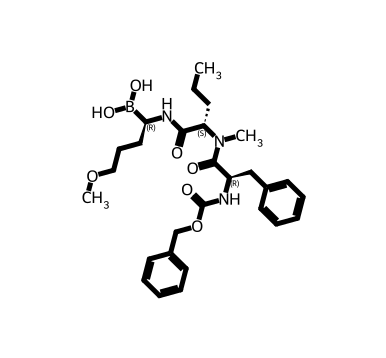 CCC[C@@H](C(=O)N[C@@H](CCCOC)B(O)O)N(C)C(=O)[C@@H](Cc1ccccc1)NC(=O)OCc1ccccc1